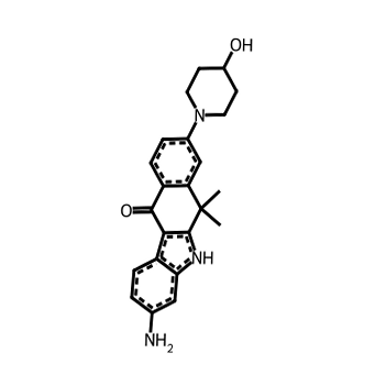 CC1(C)c2cc(N3CCC(O)CC3)ccc2C(=O)c2c1[nH]c1cc(N)ccc21